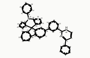 C1=CC(c2ccccc2)=NC(c2cccc(-c3ccc4c(c3)C3(c5ccccc5-4)c4ccccc4N(c4ccccc4)c4ccccc43)c2)N1